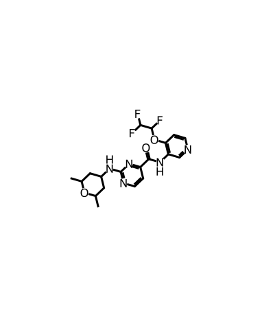 CC1CC(Nc2nccc(C(=O)Nc3cnccc3OC(F)C(F)F)n2)CC(C)O1